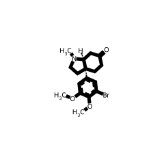 COc1cc([C@@]23CCC(=O)C[C@@H]2N(C)CC3)cc(Br)c1OC